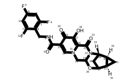 O=C(NCc1c(F)cc(F)cc1F)c1cn2c(c(O)c1=O)C(=O)N1C(C2)OC2C[C@H]1[C@H]1C[C@@H]21